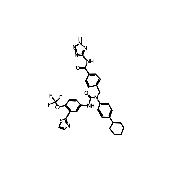 O=C(Nc1nn[nH]n1)c1ccc(CN(C(=O)Nc2ccc(OC(F)(F)F)c(-c3nccs3)c2)c2ccc(C3CCCCC3)cc2)cc1